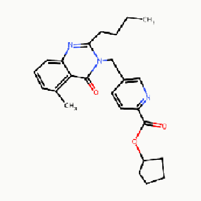 CCCCc1nc2cccc(C)c2c(=O)n1Cc1ccc(C(=O)OC2CCCC2)nc1